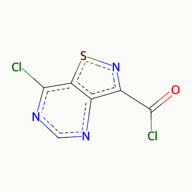 O=C(Cl)c1nsc2c(Cl)ncnc12